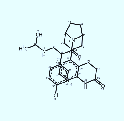 CC(C)NCC(C(=O)N1C2CCC1CN(c1ncnc3c1CCC(=O)N3)C2)c1ccc(Cl)cc1